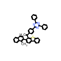 C=C(c1ccc(-c2nc(-c3ccccc3)nc(-c3ccccc3)n2)cc1)c1c(-c2ccc3ccccc3c2C)ccc2c1sc1ccccc12